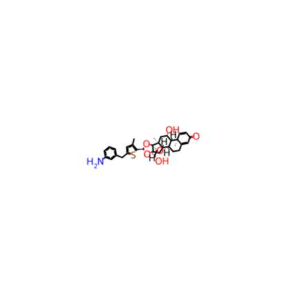 Cc1cc(Cc2cccc(N)c2)sc1[C@@H]1O[C@@H]2C[C@H]3[C@@H]4CCC5=CC(=O)C=C[C@]5(C)[C@H]4[C@@H](O)C[C@]3(C)[C@]2(C(=O)CO)O1